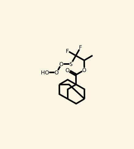 CC(OC(=O)C12CC3CC(CC(C3)C1)C2)C(F)(F)SOOO